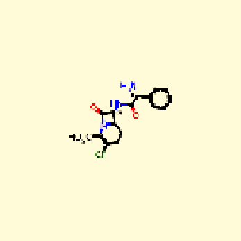 N[C@@H](C(=O)N[C@@H]1C(=O)N2C(C(=O)O)=C(Cl)CCC12)c1ccccc1